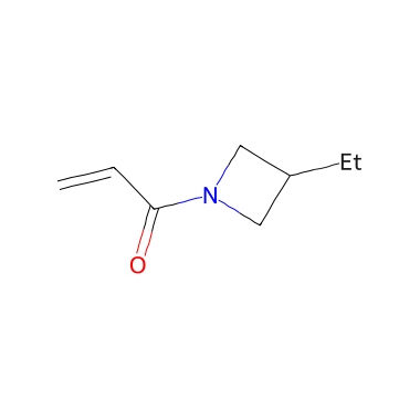 C=CC(=O)N1CC(CC)C1